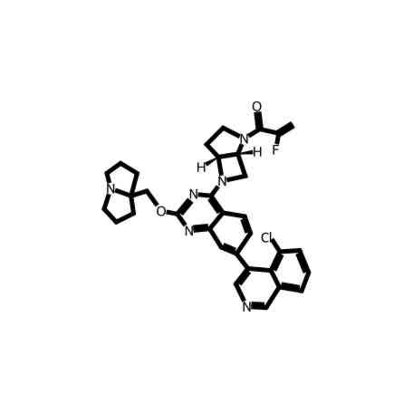 C=C(F)C(=O)N1CC[C@@H]2[C@H]1CN2c1nc(OCC23CCCN2CCC3)nc2cc(-c3cncc4cccc(Cl)c34)ccc12